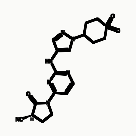 N#C[C@H]1CCN(c2ccnc(Nc3cnn(C4CCS(=O)(=O)CC4)c3)n2)C1=O